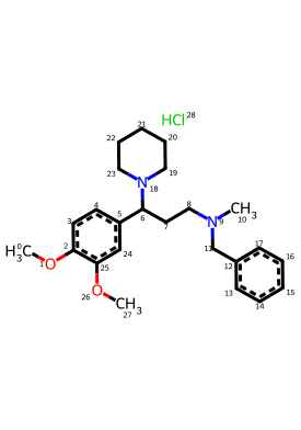 COc1ccc(C(CCN(C)Cc2ccccc2)N2CCCCC2)cc1OC.Cl